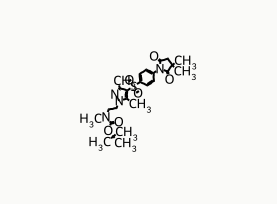 Cc1nn(CCN(C)C(=O)OC(C)(C)C)c(C)c1S(=O)(=O)c1ccc(N2C(=O)CC(C)(C)C2=O)cc1